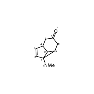 CNC12C=CC3CC(=O)CC1C32